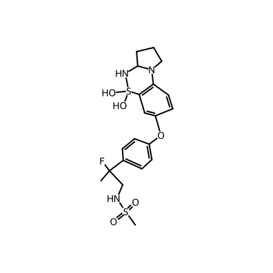 CC(F)(CNS(C)(=O)=O)c1ccc(Oc2ccc3c(c2)S(O)(O)NC2CCCN32)cc1